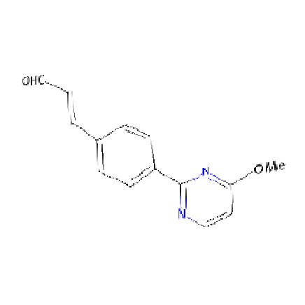 COc1ccnc(-c2ccc(C=CC=O)cc2)n1